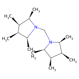 C[C@@H]1[C@H](C)[C@H](C)N(CN2[C@H](C)[C@H](C)[C@H](C)[C@@H]2C)[C@@H]1C